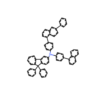 c1ccc(-c2ccc3c(-c4ccc(N(c5ccc(-c6cccc7ccccc67)cc5)c5ccc6c(c5)-c5ccccc5C6(c5ccccc5)c5ccccc5)cc4)cccc3c2)cc1